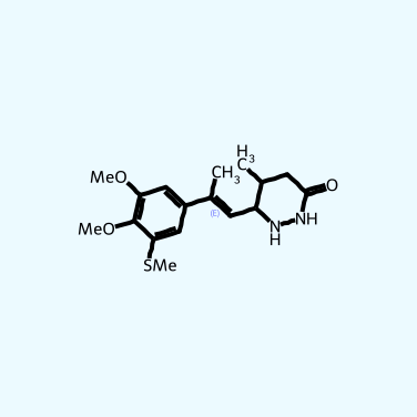 COc1cc(/C(C)=C/C2NNC(=O)CC2C)cc(SC)c1OC